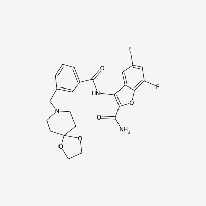 NC(=O)c1oc2c(F)cc(F)cc2c1NC(=O)c1cccc(CN2CCC3(CC2)OCCO3)c1